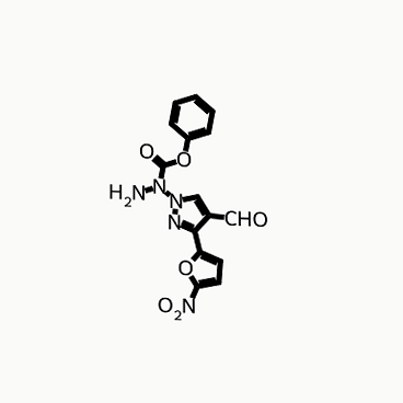 NN(C(=O)Oc1ccccc1)n1cc(C=O)c(-c2ccc([N+](=O)[O-])o2)n1